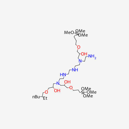 CCCCC(CC)COCC(O)CN(CCNCCNCCN(CCN)CC(O)COCCC[Si](OC)(OC)OC)CC(O)COCCC[Si](OC)(OC)OC